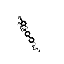 CCO[C@H]1CC[C@H]([C@H]2CC[C@H](C(=O)Oc3ccc(C#N)c(F)c3F)CC2)CC1